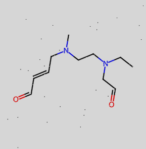 CCN(CC=O)CCN(C)C/C=C/C=O